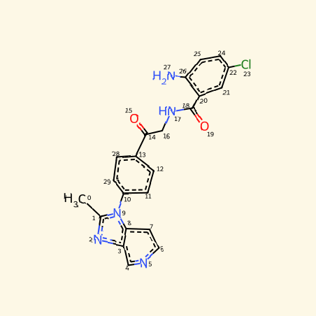 Cc1nc2cnccc2n1-c1ccc(C(=O)CNC(=O)c2cc(Cl)ccc2N)cc1